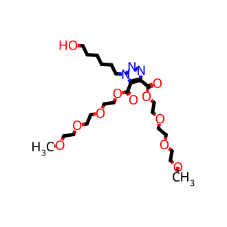 COCCOCCOCCOC(=O)c1nnn(CCCCCCO)c1C(=O)OCCOCCOCCOC